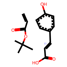 C=CC(=O)OC(C)(C)C.O=C(O)/C=C/c1ccc(O)cc1